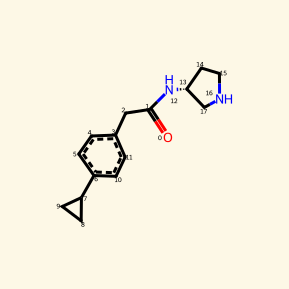 O=C(Cc1ccc(C2CC2)cc1)N[C@@H]1CCNC1